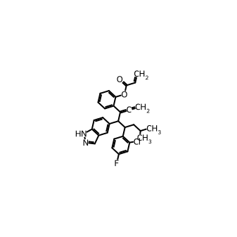 C=C=C(c1ccccc1OC(=O)C=C)C(c1ccc2[nH]ncc2c1)C(CC(C)C)c1ccc(F)cc1Cl